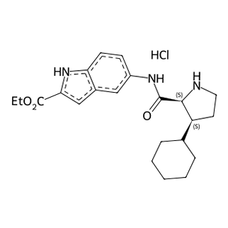 CCOC(=O)c1cc2cc(NC(=O)[C@H]3NCC[C@H]3C3CCCCC3)ccc2[nH]1.Cl